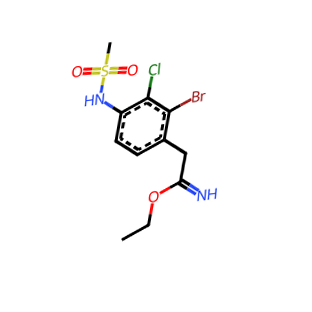 CCOC(=N)Cc1ccc(NS(C)(=O)=O)c(Cl)c1Br